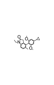 CCN1C(=O)Cc2c1ccc(C)c2-c1c(OC)cc(C2CC2)cc1OC